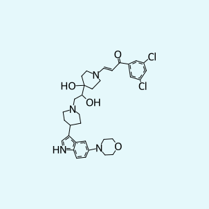 O=C(C=CN1CCC(O)(C(O)CN2CCC(c3c[nH]c4ccc(N5CCOCC5)cc34)CC2)CC1)c1cc(Cl)cc(Cl)c1